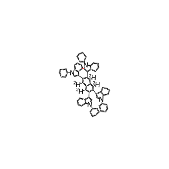 [2H]c1c(-c2cn(-c3ccccc3)c3ccccc23)c(-c2cn(-c3ccccc3)c3ccccc23)c([2H])c2c([2H])c(-c3cn(-c4ccccc4)c4ccccc34)c(-c3cn(-c4ccccc4)c4ccccc34)c([2H])c12